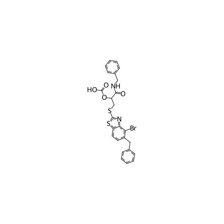 O=C(O)OC(CSc1nc2c(Br)c(Cc3ccccc3)ccc2s1)C(=O)NCc1ccccc1